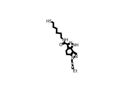 CCOCCn1ncc2c1CCc1c(C(=O)NCCCCCCS)n[nH]c1-2